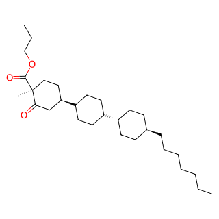 CCCCCCC[C@H]1CC[C@H](C2CCC([C@@H]3CC[C@](C)(C(=O)OCCC)C(=O)C3)CC2)CC1